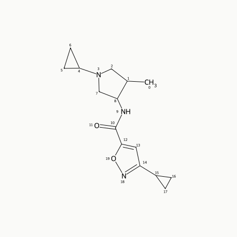 CC1CN(C2CC2)CC1NC(=O)c1cc(C2CC2)no1